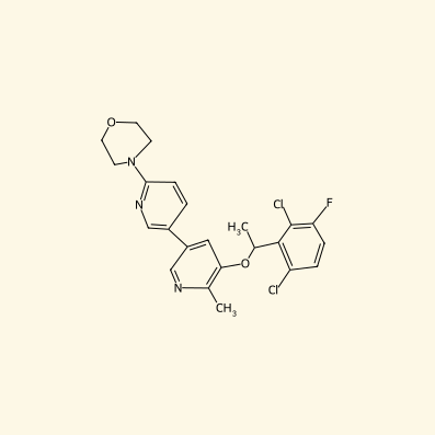 Cc1ncc(-c2ccc(N3CCOCC3)nc2)cc1OC(C)c1c(Cl)ccc(F)c1Cl